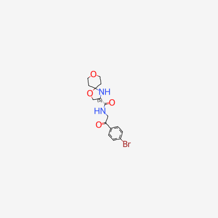 O=C(CNC(=O)[C@@H]1COC2(CCOCC2)N1)c1ccc(Br)cc1